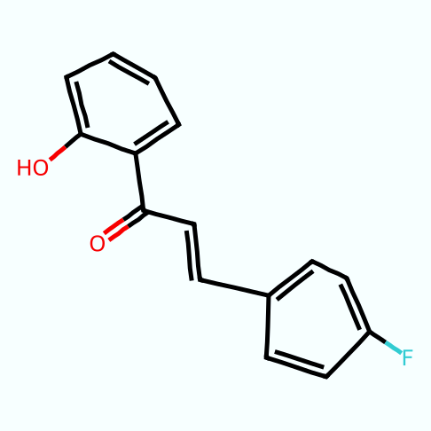 O=C(C=Cc1ccc(F)cc1)c1ccccc1O